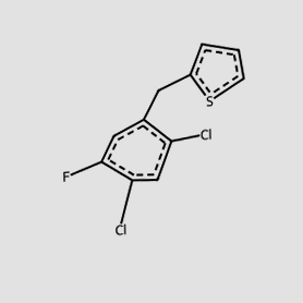 Fc1cc(Cc2cccs2)c(Cl)cc1Cl